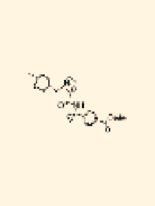 COC(=O)c1ccc(C2(NC(=O)C3C4CCC(CC4)N3Cc3ccc(C)cc3)CC2)cc1